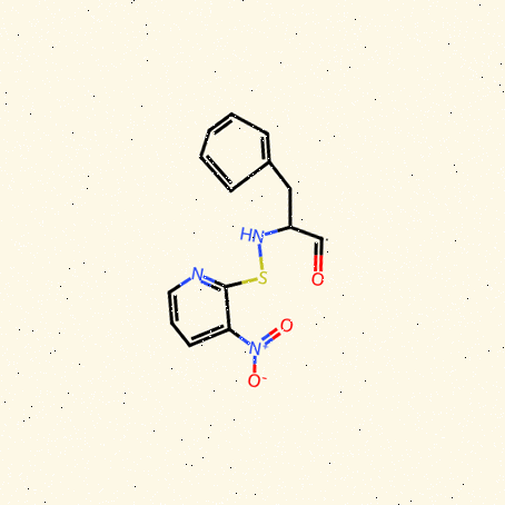 O=[C]C(Cc1ccccc1)NSc1ncccc1[N+](=O)[O-]